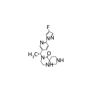 C[C@@H](c1ccc(-n2cc(F)cn2)nc1)N1CCNC2(CCNCC2)C1=O